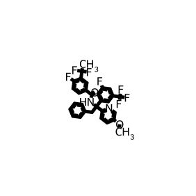 COc1ccc(C(Cc2ccccc2)(NC(=O)c2ccc(F)c(C(C)(F)F)c2)c2cc(F)cc(C(F)(F)F)c2)nc1